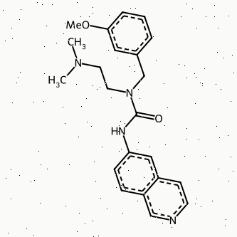 COc1cccc(CN(CCN(C)C)C(=O)Nc2ccc3cnccc3c2)c1